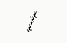 C=NC(=O)CCOCCOCCNC(=O)CCN